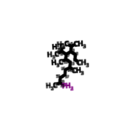 CCCC(C(C)C)C(C(C)C)C(C)CC(C)CCCC(C)P